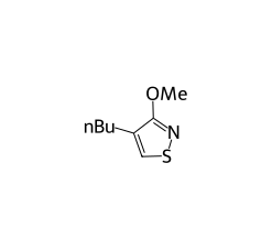 CCCCc1csnc1OC